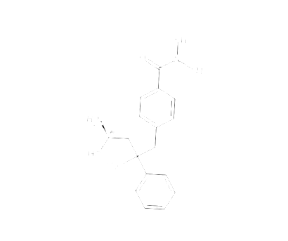 CN(C)C(=O)c1ccc(CC(C)(C[C@H](N)O)c2ccccc2)cc1